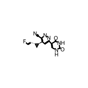 N#Cc1nnc(-c2c[nH]c(=O)[nH]c2=O)cc1[C@H]1C[C@@H]1/C=C/F